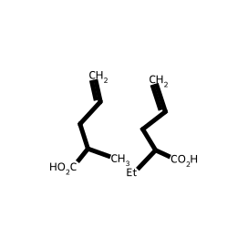 C=CCC(C)C(=O)O.C=CCC(CC)C(=O)O